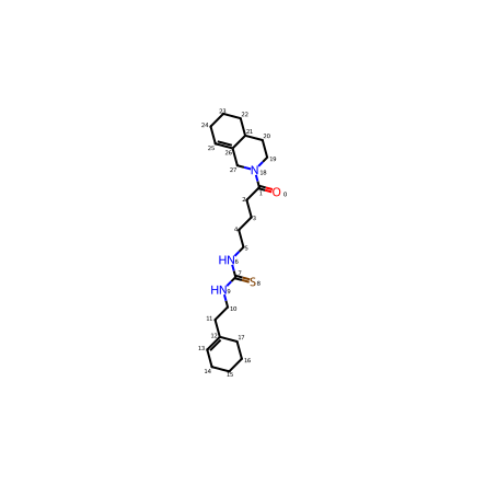 O=C(CCCCNC(=S)NCCC1=CCCCC1)N1CCC2CCCC=C2C1